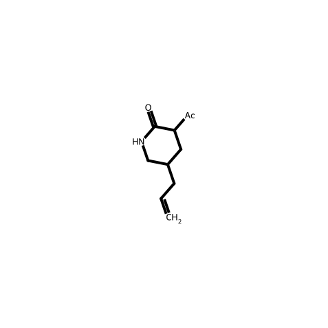 C=CCC1CNC(=O)C(C(C)=O)C1